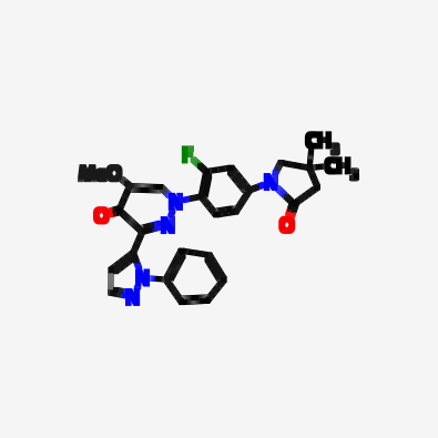 COc1cn(-c2ccc(N3CC(C)(C)CC3=O)cc2F)nc(-c2ccnn2-c2ccccc2)c1=O